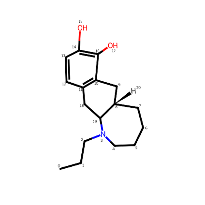 CCCN1CCCC[C@H]2Cc3c(ccc(O)c3O)CC21